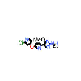 CCNc1ncc(-c2ccc(Oc3ccnc(Cl)c3)cn2)c(OC)n1